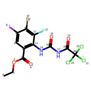 CCOC(=O)c1cc(I)c(Br)c(F)c1NC(=O)NC(=O)C(Cl)(Cl)Cl